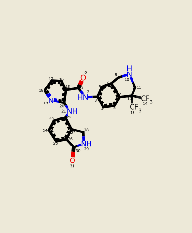 O=C(Nc1ccc2c(c1)CNCC2(C(F)(F)F)C(F)(F)F)c1cccnc1Nc1cccc2c1CNC2=O